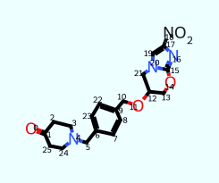 O=C1CCN(Cc2ccc(COC3COc4nc([N+](=O)[O-])cn4C3)cc2)CC1